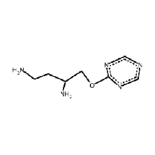 NCCC(N)COc1ncncn1